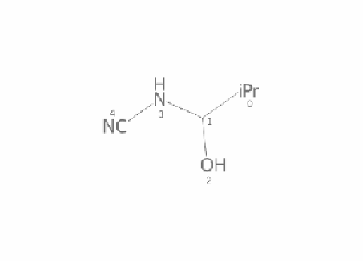 CC(C)C(O)NC#N